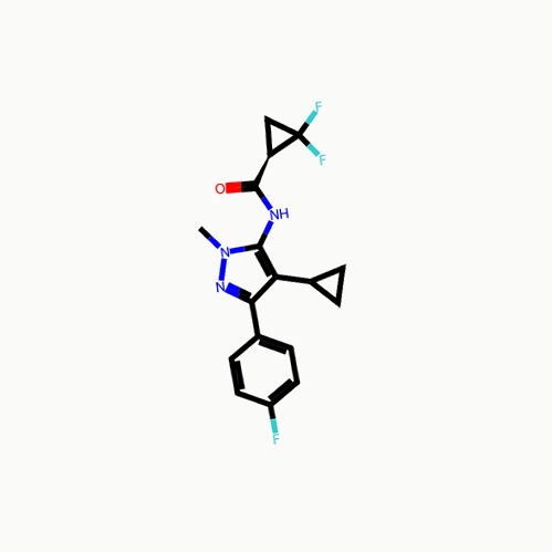 Cn1nc(-c2ccc(F)cc2)c(C2CC2)c1NC(=O)[C@H]1CC1(F)F